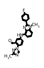 Cc1ncn(-c2ccc(Nc3cccc4c3nc(-c3ccc(F)cc3)n4C)cc2C=O)n1